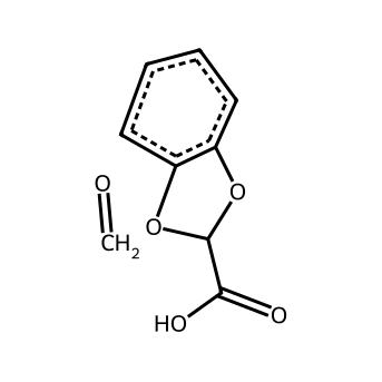 C=O.O=C(O)C1Oc2ccccc2O1